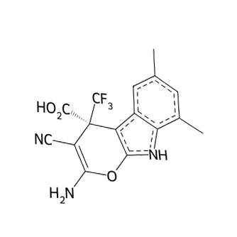 Cc1cc(C)c2[nH]c3c(c2c1)[C@](C(=O)O)(C(F)(F)F)C(C#N)=C(N)O3